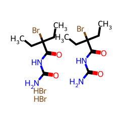 Br.Br.CCC(Br)(CC)C(=O)NC(N)=O.CCC(Br)(CC)C(=O)NC(N)=O